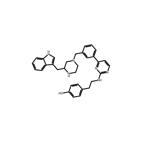 Oc1ccc(CCNc2nccc(-c3cccc(CN4CCNC(Cc5c[nH]c6ccccc56)C4)c3)n2)cc1